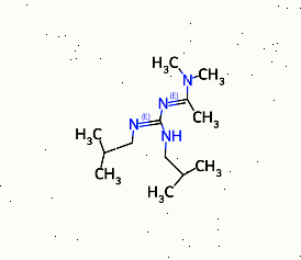 C/C(=N\C(=N\CC(C)C)NCC(C)C)N(C)C